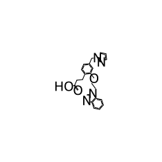 O=C(O)CCc1ccc(Cn2cccn2)cc1OCCn1cnc2ccccc21